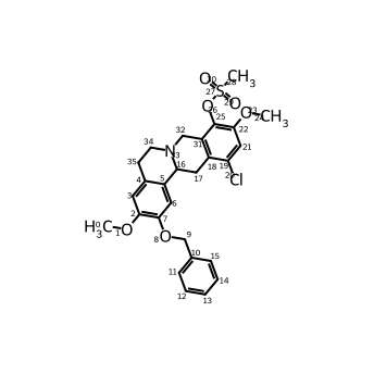 COc1cc2c(cc1OCc1ccccc1)C1Cc3c(Cl)cc(OC)c(OS(C)(=O)=O)c3CN1CC2